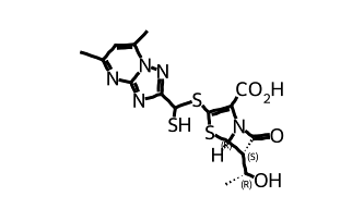 Cc1cc(C)n2nc(C(S)SC3=C(C(=O)O)N4C(=O)[C@H]([C@@H](C)O)[C@H]4S3)nc2n1